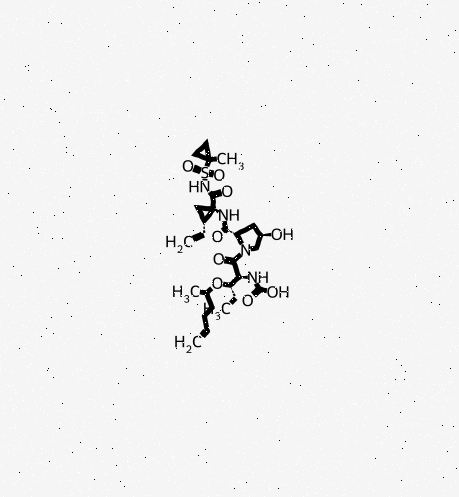 C=CCCC(C)O[C@@H](CC)[C@H](NC(=O)O)C(=O)N1C[C@H](O)C[C@H]1C(=O)N[C@]1(C(=O)NS(=O)(=O)C2(C)CC2)C[C@H]1C=C